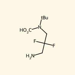 CC(C)(C)N(CC(F)(F)CN)C(=O)O